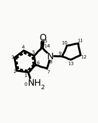 Nc1cccc2c1CN(C1CCCC1)C2=O